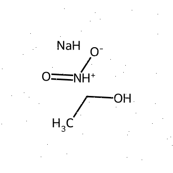 CCO.O=[NH+][O-].[NaH]